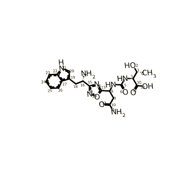 C[C@@H](O)[C@H](NC(=O)NC(CC(N)=O)c1nc([C@@H](N)Cc2c[nH]c3ccccc23)no1)C(=O)O